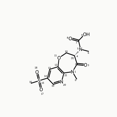 CN1C(=O)[C@@H](N(C)C(=O)O)COc2cc(S(C)(=O)=O)cnc21